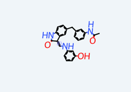 CC(=O)Nc1cccc(Cc2ccc3c(c2)/C(=C\Nc2cccc(O)c2)C(=O)N3)c1